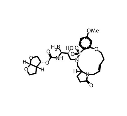 B[C@H](NC(=O)O[C@H]1CO[C@H]2OCC[C@H]21)[C@H](O)CN1C[C@H]2CCC(=O)N2C/C=C/CCOc2cc(OC)ccc2S1(=O)=O